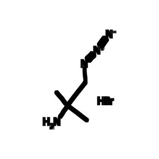 Br.CC(C)(N)CN=[N+]=[N-]